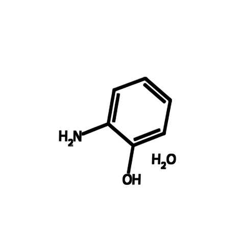 Nc1ccccc1O.O